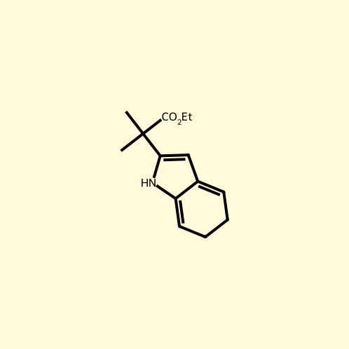 CCOC(=O)C(C)(C)c1cc2c([nH]1)=CCCC=2